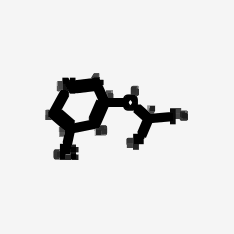 CCc1cn[c]c(OC(F)F)c1